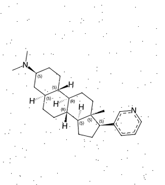 CN(C)[C@H]1CC[C@H]2[C@@H](CC[C@@H]3[C@@H]2CC[C@]2(C)[C@@H](c4cccnc4)CC[C@@H]32)C1